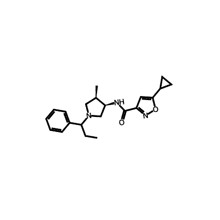 CCC(c1ccccc1)N1C[C@@H](C)[C@@H](NC(=O)c2cc(C3CC3)on2)C1